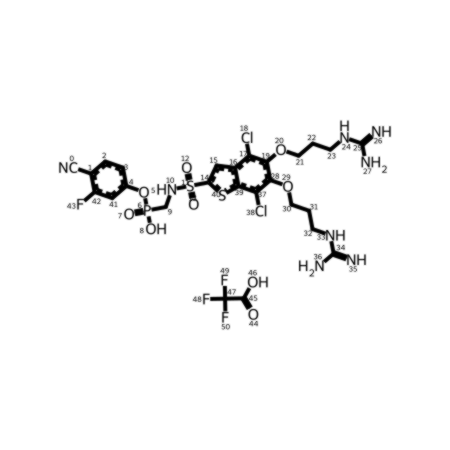 N#Cc1ccc(OP(=O)(O)CNS(=O)(=O)c2cc3c(Cl)c(OCCCNC(=N)N)c(OCCCNC(=N)N)c(Cl)c3s2)cc1F.O=C(O)C(F)(F)F